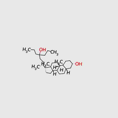 CCCC(O)(CCC)CC[C@@H](C)[C@H]1CC[C@H]2[C@@H]3CC[C@H]4C[C@@H](O)CC[C@]4(C)[C@H]3CC[C@]12C